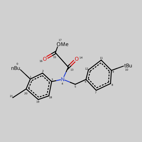 CCCCc1cc(N(Cc2ccc(C(C)(C)C)cc2)C(=O)C(=O)OC)ccc1C